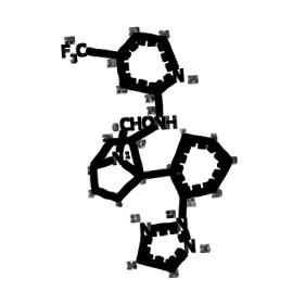 O=CN1C2CCC1(c1ccccc1-n1nccn1)C(Nc1cc(C(F)(F)F)ccn1)C2